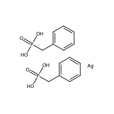 O=P(O)(O)Cc1ccccc1.O=P(O)(O)Cc1ccccc1.[Ag]